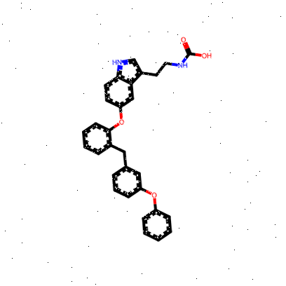 O=C(O)NCCc1c[nH]c2ccc(Oc3ccccc3Cc3cccc(Oc4ccccc4)c3)cc12